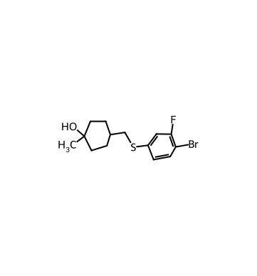 CC1(O)CCC(CSc2ccc(Br)c(F)c2)CC1